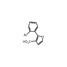 CC(=O)c1ccccc1-c1occc1C(=O)O